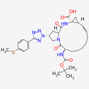 CSc1ccc(-c2nnn([C@@H]3C[C@H]4C(=O)N[C@@]5(C(=O)O)C[C@H]5/C=C\CCCCC[C@@H](NC(=O)OC(C)(C)C)C(=O)N4C3)n2)cc1